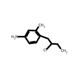 CCC(Cl)Cc1ccc(N)cc1C